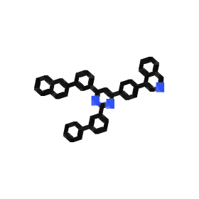 C1=CCCC(c2cccc(-c3nc(C4=CC=C(c5cncc6ccccc56)CC4)cc(-c4cccc(-c5ccc6ccccc6c5)c4)n3)c2)=C1